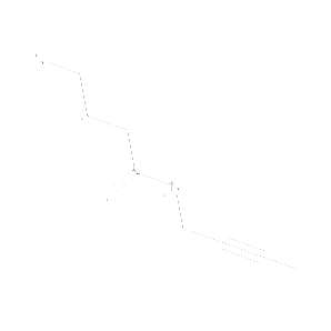 CCC#CCNC(=O)CCCN